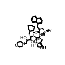 CC(C)[S+]([O-])C[C@@H](Cc1cccc2ccccc12)C(=O)N[C@@H](Cc1c[nH]cn1)C(=O)N[C@@H](CC1CCCCC1)[C@@H](O)[C@@H](O)CN1CCOCC1